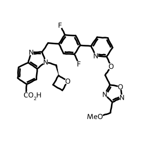 COCc1noc(COc2cccc(-c3cc(F)c(Cc4nc5ccc(C(=O)O)cc5n4C[C@@H]4CCO4)cc3F)n2)n1